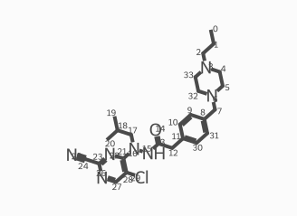 CCCN1CCN(Cc2ccc(CC(=O)NN(CC(C)C)c3nc(C#N)ncc3Cl)cc2)CC1